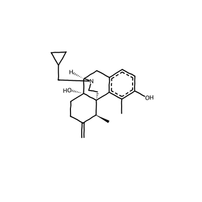 C=C1CC[C@@]2(O)[C@H]3Cc4ccc(O)c(C)c4[C@@]2(CCN3CC2CC2)[C@H]1C